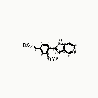 CCOC(=O)Cc1ccc(-c2nc3cnccc3[nH]2)c(OC)c1